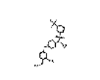 COc1ccc(CN2CCC(N(C3CC3)S(=O)(=O)c3cccc(C(F)(F)F)c3)CC2)cc1C